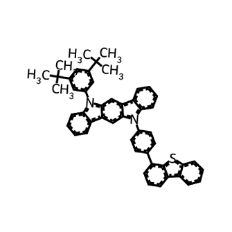 CC(C)(C)c1cc(-n2c3ccccc3c3cc4c(cc32)c2ccccc2n4-c2ccc(-c3cccc4c3sc3ccccc34)cc2)cc(C(C)(C)C)c1